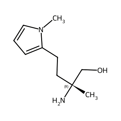 Cn1cccc1CC[C@@](C)(N)CO